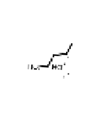 CCCCO.Cl.[Ir]